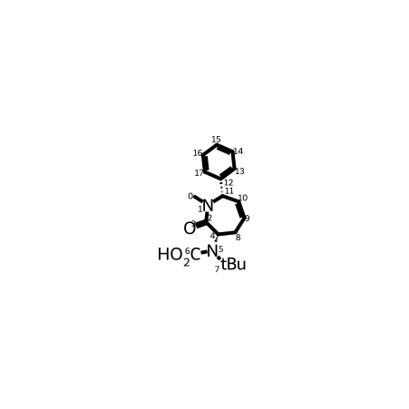 CN1C(=O)[C@@H](N(C(=O)O)C(C)(C)C)CC=C[C@H]1c1ccccc1